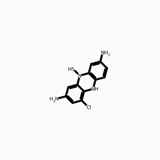 Nc1ccc2c(c1)N(S)c1cc(N)cc(Cl)c1N2